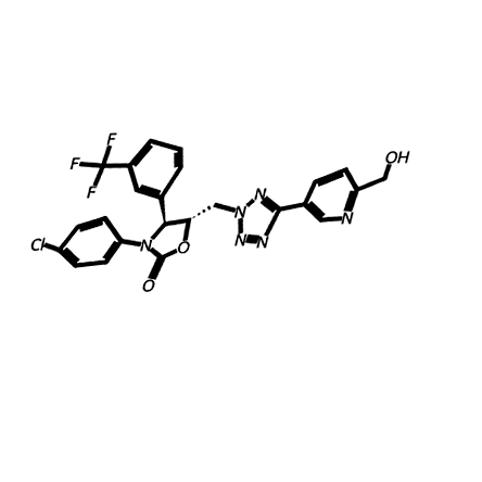 O=C1O[C@@H](Cn2nnc(-c3ccc(CO)nc3)n2)[C@H](c2cccc(C(F)(F)F)c2)N1c1ccc(Cl)cc1